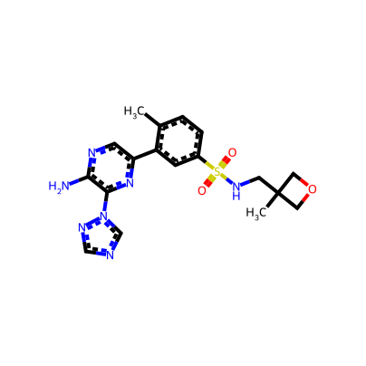 Cc1ccc(S(=O)(=O)NCC2(C)COC2)cc1-c1cnc(N)c(-n2cncn2)n1